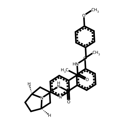 COc1ccc(CNC(=O)c2ccc(N3[C@@H]4CC[C@H]3C[C@@H](NC(=O)c3cccc(OC)c3C)C4)nc2)cc1